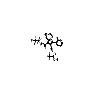 Cc1ncccc1-c1c(C#N)c(C(N)=O)c2n1CCNC2.O=C(O)C(F)(F)F.O=C(O)C(F)(F)F